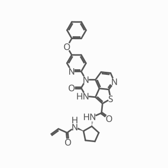 C=CC(=O)N[C@@H]1CCC[C@H]1NC(=O)c1sc2nccc3c2c1NC(=O)N3c1ccc(Oc2ccccc2)cn1